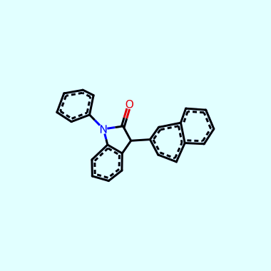 O=C1C(c2ccc3ccccc3c2)c2ccccc2N1c1ccccc1